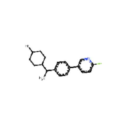 CCC1CCC(C(C)c2ccc(-c3ccc(F)nc3)cc2)CC1